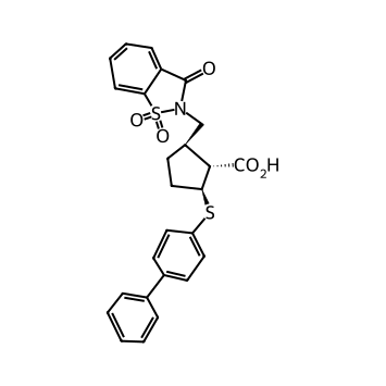 O=C(O)[C@H]1[C@H](CN2C(=O)c3ccccc3S2(=O)=O)CC[C@@H]1Sc1ccc(-c2ccccc2)cc1